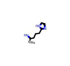 CNC(=N)CCCc1ncc[nH]1